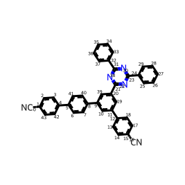 N#Cc1ccc(-c2ccc(-c3cc(-c4ccc(C#N)cc4)cc(-c4nc(-c5ccccc5)nc(-c5ccccc5)n4)c3)cc2)cc1